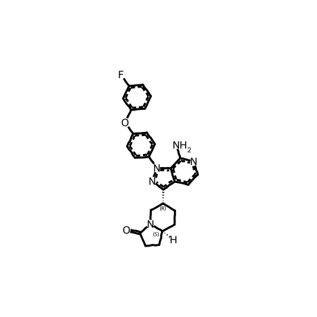 Nc1nccc2c([C@@H]3CC[C@H]4CCC(=O)N4C3)nn(-c3ccc(Oc4cccc(F)c4)cc3)c12